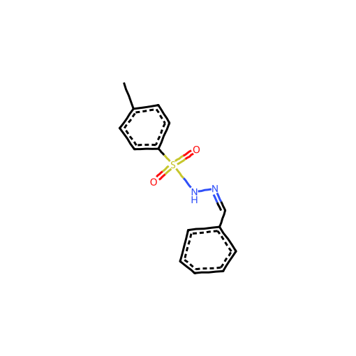 Cc1ccc(S(=O)(=O)N/N=C\c2ccccc2)cc1